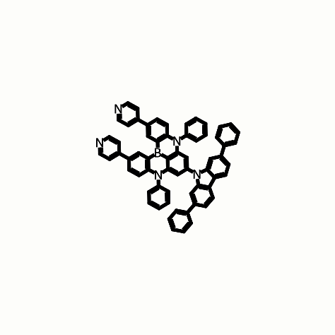 c1ccc(-c2ccc3c4ccc(-c5ccccc5)cc4n(-c4cc5c6c(c4)N(c4ccccc4)c4ccc(-c7ccncc7)cc4B6c4cc(-c6ccncc6)ccc4N5c4ccccc4)c3c2)cc1